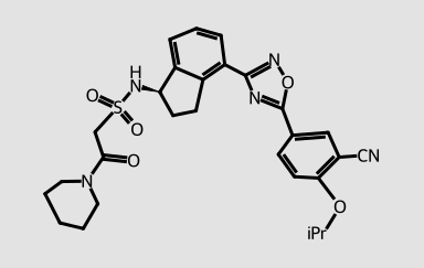 CC(C)Oc1ccc(-c2nc(-c3cccc4c3CC[C@H]4NS(=O)(=O)CC(=O)N3CCCCC3)no2)cc1C#N